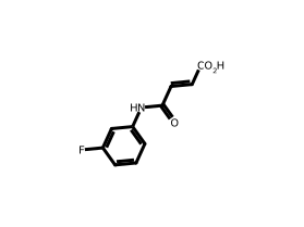 O=C(O)C=CC(=O)Nc1cccc(F)c1